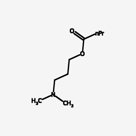 CCCC(=O)OCCCN(C)C